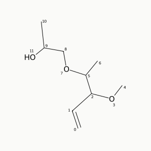 C=CC(OC)C(C)OCC(C)O